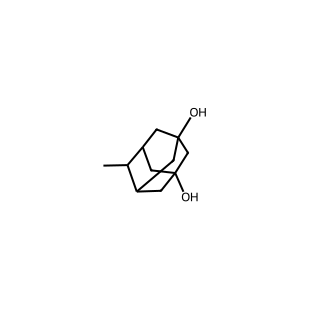 CC1C2CC3(O)CC1CC(O)(C2)C3